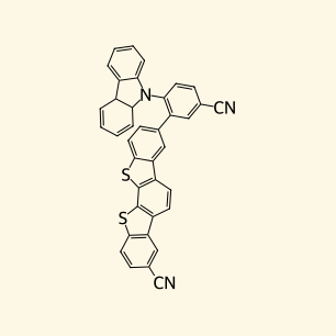 N#Cc1ccc(N2c3ccccc3C3C=CC=CC32)c(-c2ccc3sc4c(ccc5c6cc(C#N)ccc6sc54)c3c2)c1